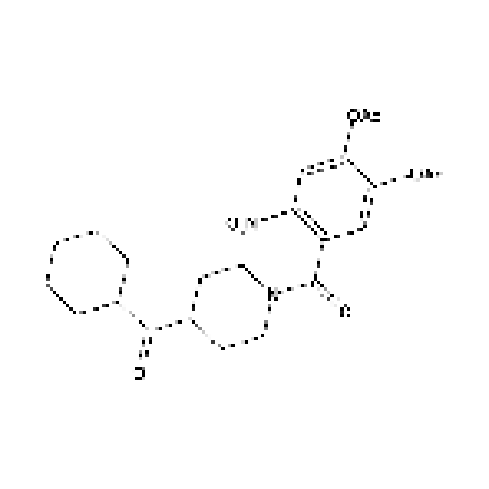 CC(=O)Oc1cc(C(=O)N2CCC(C(=O)C3CCCCC3)CC2)c([N+](=O)[O-])cc1OC(C)=O